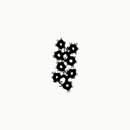 c1ccc(-n2c3c(c4ccccc42)-c2ccccc2N(c2cccc(-n4c5c(c6ccccc64)-c4ccccc4Sc4ccccc4-5)c2)c2ccccc2-3)cc1